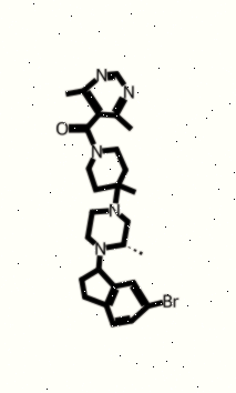 Cc1ncnc(C)c1C(=O)N1CCC(C)(N2CCN(C3CCc4ccc(Br)cc43)[C@@H](C)C2)CC1